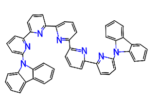 c1cc(-c2cccc(-c3cccc(-n4c5ccccc5c5ccccc54)n3)n2)nc(-c2cccc(-c3cccc(-n4c5ccccc5c5ccccc54)n3)n2)c1